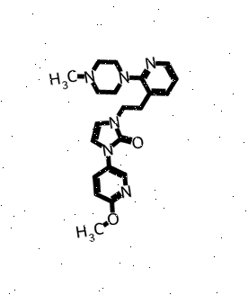 COc1ccc(-n2ccn(CCc3cccnc3N3CCN(C)CC3)c2=O)cn1